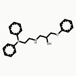 OC(CNCCN(c1ccccc1)c1ccccc1)COc1ccccc1